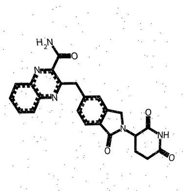 NC(=O)c1nc2ccccc2nc1Cc1ccc2c(c1)CN(C1CCC(=O)NC1=O)C2=O